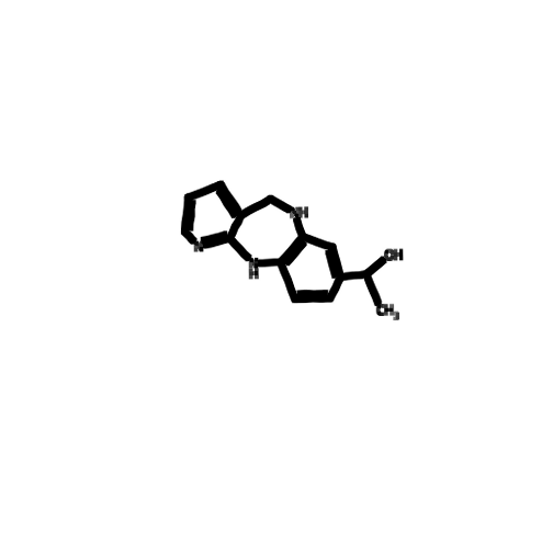 CC(O)c1ccc2c(c1)NCc1cccnc1N2